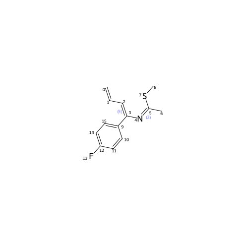 C=C/C=C(/N=C(/C)SC)c1ccc(F)cc1